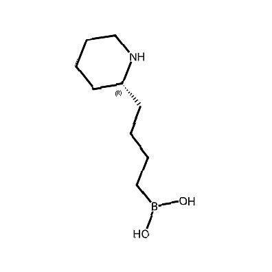 OB(O)CCCC[C@@H]1CCCCN1